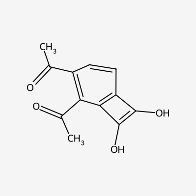 CC(=O)c1ccc2c(c1C(C)=O)C(O)=C2O